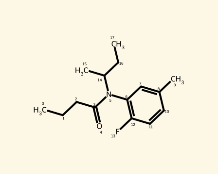 CCCC(=O)N(c1cc(C)ccc1F)C(C)CC